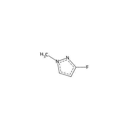 Cn1ccc(F)n1